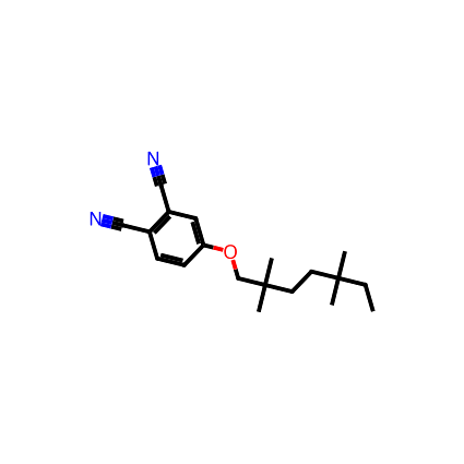 CCC(C)(C)CCC(C)(C)COc1ccc(C#N)c(C#N)c1